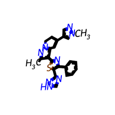 Cc1nn2c(c1-c1nc(-c3ccccc3)c(-c3nc[nH]n3)s1)C=C(c1cnn(C)c1)CC2